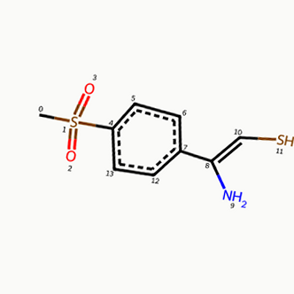 CS(=O)(=O)c1ccc(/C(N)=C/S)cc1